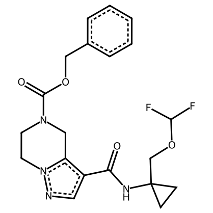 O=C(NC1(COC(F)F)CC1)c1cnn2c1CN(C(=O)OCc1ccccc1)CC2